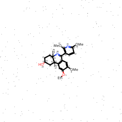 CCOc1cc2c(cc1OC)C(c1ccc(OC)nc1OC)=N[C@H]1CC[C@H](O)C[C@@H]21